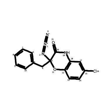 [N-]=[N+]=NC1(Cc2ccccc2)Oc2ccc(Cl)cc2NC1=O